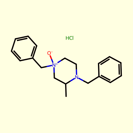 CC1C[N+]([O-])(Cc2ccccc2)CCN1Cc1ccccc1.Cl